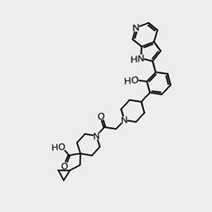 O=C(CN1CCC(c2cccc(-c3cc4ccncc4[nH]3)c2O)CC1)N1CCC(CC2CC2)(C(=O)O)CC1